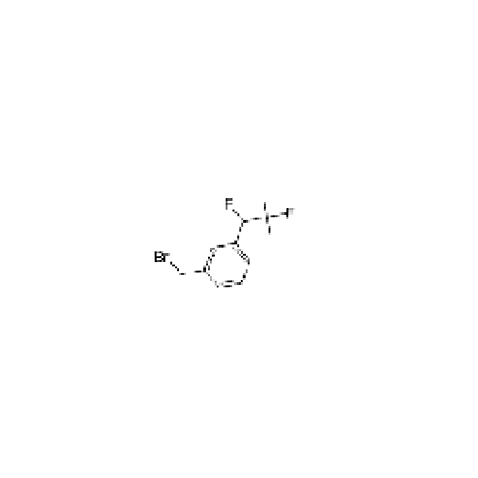 CC(C)(F)C(F)c1cccc(CBr)c1